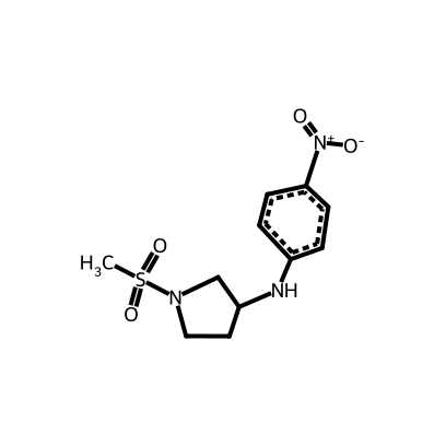 CS(=O)(=O)N1CCC(Nc2ccc([N+](=O)[O-])cc2)C1